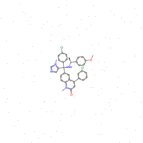 COc1ccc([C@H](C)N[C@@](c2ccc(Cl)cc2)(c2ccc3c(c2)c(-c2cccc(Cl)c2)cc(=O)n3C)c2cncn2C)cc1